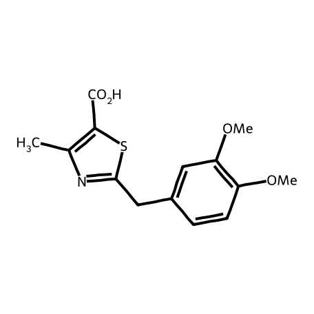 COc1ccc(Cc2nc(C)c(C(=O)O)s2)cc1OC